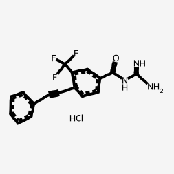 Cl.N=C(N)NC(=O)c1ccc(C#Cc2ccccc2)c(C(F)(F)F)c1